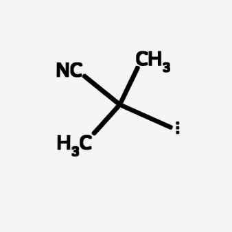 [C]C(C)(C)C#N